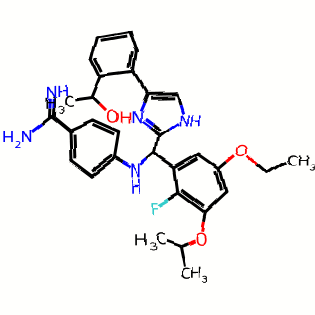 CCOc1cc(OC(C)C)c(F)c(C(Nc2ccc(C(=N)N)cc2)c2nc(-c3ccccc3C(C)O)c[nH]2)c1